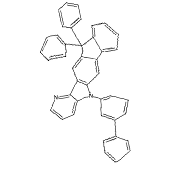 c1ccc(-c2cccc(-n3c4cc5c(cc4c4ncccc43)C(c3ccccc3)(c3ccccc3)c3ccccc3-5)c2)cc1